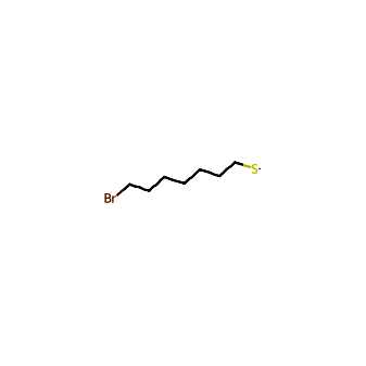 [S]CCCCCCCBr